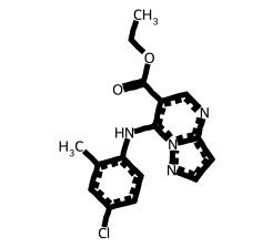 CCOC(=O)c1cnc2ccnn2c1Nc1ccc(Cl)cc1C